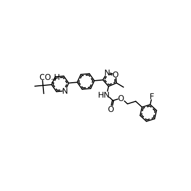 Cc1onc(-c2ccc(-c3ccc(C(C)(C)C(=O)O)cn3)cc2)c1NC(=O)OCCc1ccccc1F